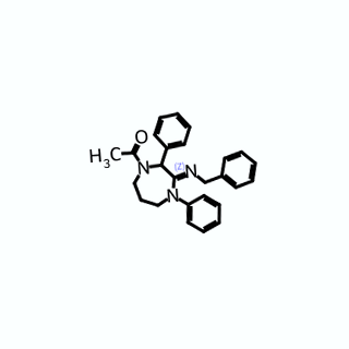 CC(=O)N1CCCN(c2ccccc2)/C(=N\Cc2ccccc2)C1c1ccccc1